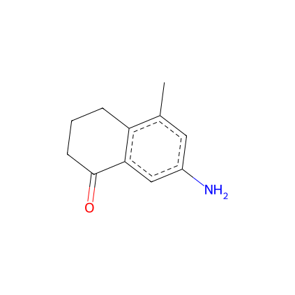 Cc1cc(N)cc2c1CCCC2=O